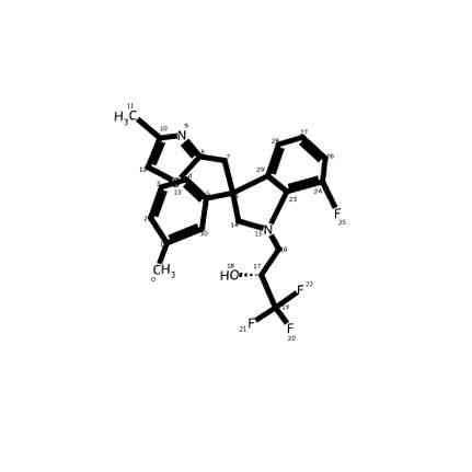 Cc1cccc(C2(Cc3nc(C)cs3)CN(C[C@@H](O)C(F)(F)F)c3c(F)cccc32)c1